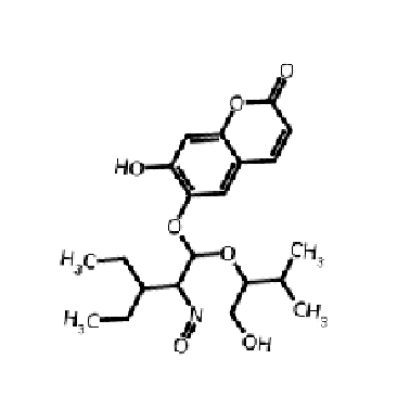 CCC(CC)C(N=O)C(Oc1cc2ccc(=O)oc2cc1O)OC(CO)C(C)C